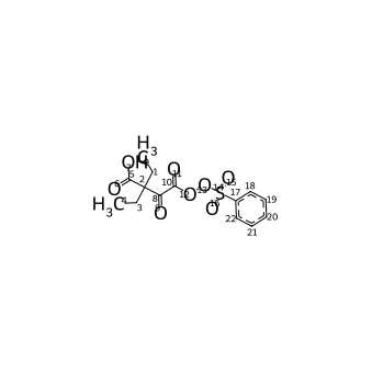 CCC(CC)(C(=O)O)C(=O)C(=O)OOS(=O)(=O)c1ccccc1